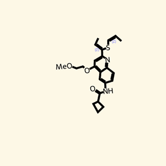 C/C=C\S/C(=C\C)c1cc(OCCOC)c2cc(NC(=O)C3CCC3)ccc2n1